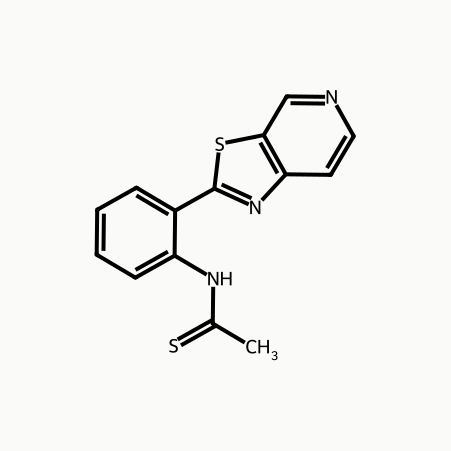 CC(=S)Nc1ccccc1-c1nc2ccncc2s1